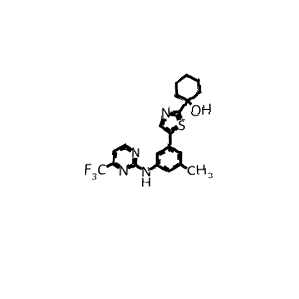 Cc1cc(Nc2nccc(C(F)(F)F)n2)cc(-c2cnc(C3(O)CCCCC3)s2)c1